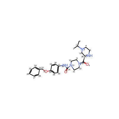 CC(C)N1CCN[C@@H](C(=O)N2CCN(C(=O)Nc3ccc(OCc4ccccc4)cc3)CC2)C1